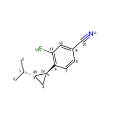 CC(C)[C@H]1C[C@@H]1c1ccc(C#N)cc1F